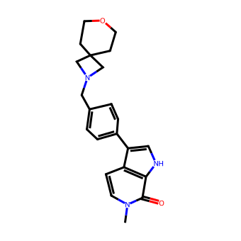 Cn1ccc2c(-c3ccc(CN4CC5(CCOCC5)C4)cc3)c[nH]c2c1=O